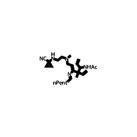 C=CC(NC(C)=O)C(C)(C=C)C(=C/CN(C)CCNC1(C#N)CC1)/N=C/CCCCC